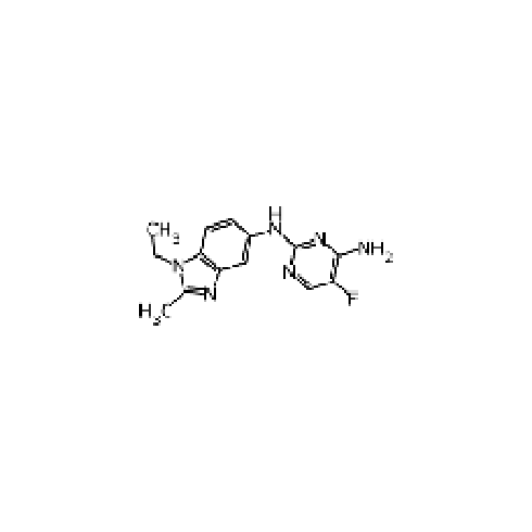 CCn1c(C)nc2cc(Nc3ncc(F)c(N)n3)ccc21